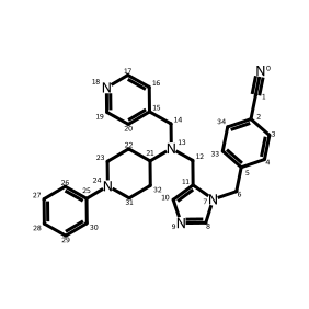 N#Cc1ccc(Cn2cncc2CN(Cc2ccncc2)C2CCN(c3ccccc3)CC2)cc1